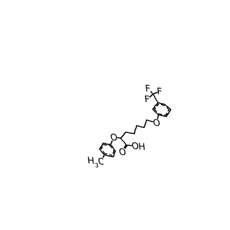 Cc1ccc(OC(CCCCCOc2cccc(C(F)(F)F)c2)C(=O)O)cc1